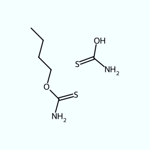 CCCCOC(N)=S.NC(O)=S